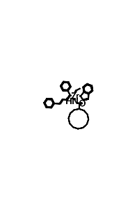 C[CH]=[Zr]([NH]C(=O)C1CCCCCCCCCCC1)([C](=CC=Cc1ccccc1)c1ccccc1)[CH]1C=Cc2ccccc21